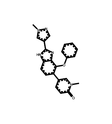 Cn1cc(-c2nc3c(Oc4ccccc4)c(-c4ccc(=O)n(C)c4)ccc3[nH]2)cn1